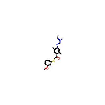 CCN(C)/C=N/c1cc(C)c(C(=O)CSc2cccc(OC)c2)cc1C